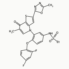 CCS(=O)(=O)Nc1ccc(Oc2ccc(F)cc2F)c(-n2cc(C)c(=O)c3sc(-c4nnc(C)o4)cc32)c1